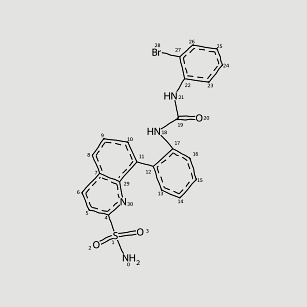 NS(=O)(=O)c1ccc2cccc(-c3ccccc3NC(=O)Nc3ccccc3Br)c2n1